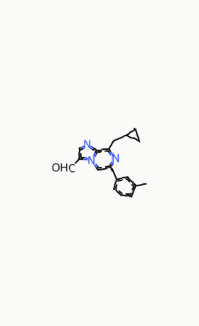 Cc1cccc(-c2cn3c(C=O)cnc3c(CC3CC3)n2)c1